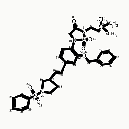 C[Si](C)(C)CCN1C(=O)CN(c2ccc(/C=C/C3CCN(S(=O)(=O)c4ccccc4)C3)cc2OCc2ccccc2)S1(=O)=O